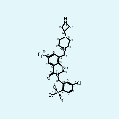 CCS(=O)(=O)c1ccc(Cl)cc1Cn1cnc2c(CN3CCN(C4CNC4)CC3)cc(C(F)(F)F)cc2c1=O